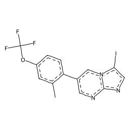 Cc1cc(OC(F)(F)F)ccc1-c1cnc2ncc(I)n2c1